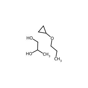 CC(O)CO.CCCOC1CC1